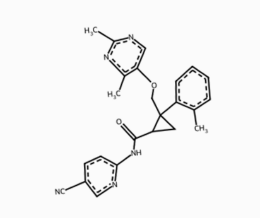 Cc1ncc(OCC2(c3ccccc3C)CC2C(=O)Nc2ccc(C#N)cn2)c(C)n1